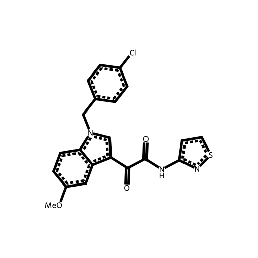 COc1ccc2c(c1)c(C(=O)C(=O)Nc1ccsn1)cn2Cc1ccc(Cl)cc1